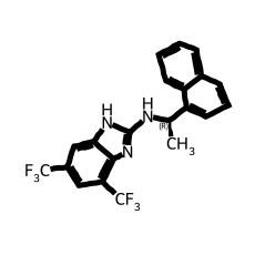 C[C@@H](Nc1nc2c(C(F)(F)F)cc(C(F)(F)F)cc2[nH]1)c1cccc2ccccc12